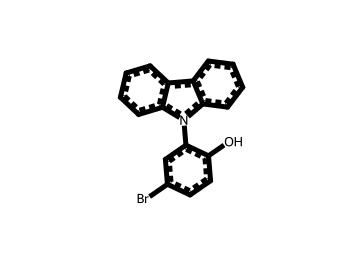 Oc1ccc(Br)cc1-n1c2ccccc2c2ccccc21